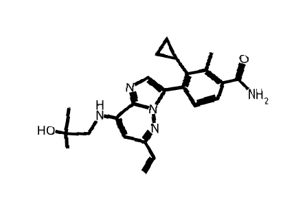 C=Cc1cc(NCC(C)(C)O)c2ncc(-c3ccc(C(N)=O)c(C)c3C3CC3)n2n1